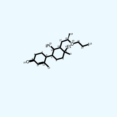 CCC1(C)CCC(C2CCC(=O)C=C2C)C(C(C)C)C1C[C@@H](C)OCCI